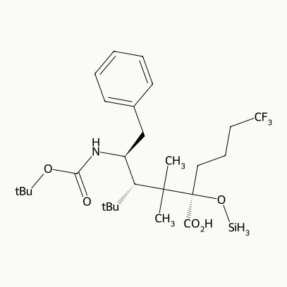 CC(C)(C)OC(=O)N[C@@H](Cc1ccccc1)[C@@H](C(C)(C)C)C(C)(C)[C@@](CCCC(F)(F)F)(O[SiH3])C(=O)O